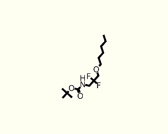 CCCCCCOCC(F)(F)CNC(=O)OC(C)(C)C